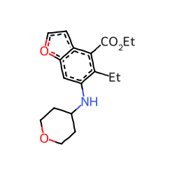 CCOC(=O)c1c(CC)c(NC2CCOCC2)cc2occc12